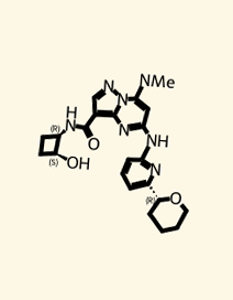 CNc1cc(Nc2cccc([C@H]3CCCCO3)n2)nc2c(C(=O)N[C@@H]3CC[C@@H]3O)cnn12